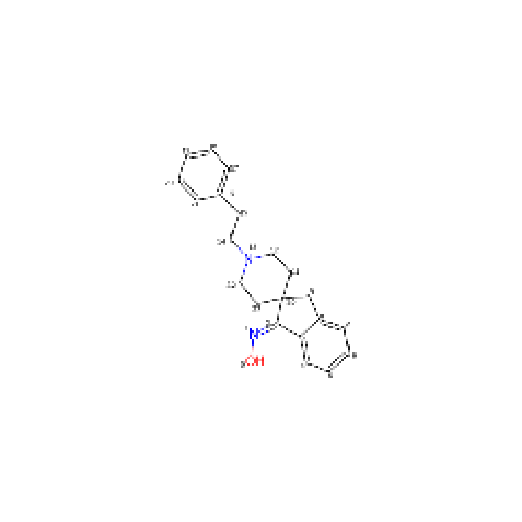 O/N=C1\c2ccccc2CC12CCN(CCc1ccccc1)CC2